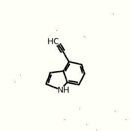 C#Cc1cccc2[nH]ccc12